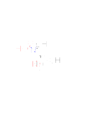 C=C(C)C[C@@]1(CO)CCN(C(=O)O)[C@H](C)C1